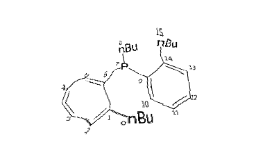 CCCCc1ccccc1P(CCCC)c1ccccc1CCCC